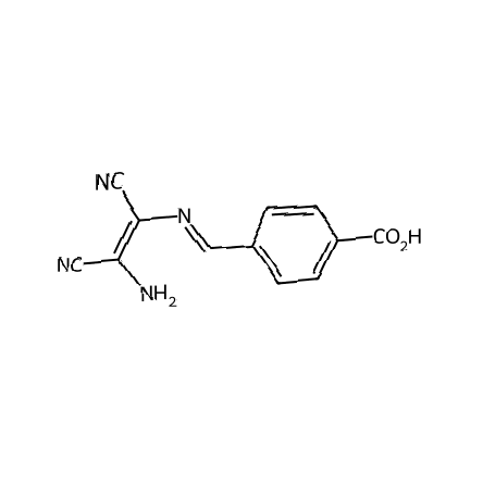 N#CC(N)=C(C#N)N=Cc1ccc(C(=O)O)cc1